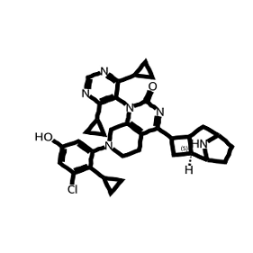 O=c1nc(C2C[C@@H]3C4CCC(CC23)N4)c2c(n1-c1c(C3CC3)ncnc1C1CC1)CN(c1cc(O)cc(Cl)c1C1CC1)CC2